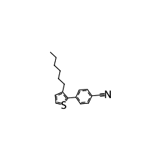 CCCCCCc1ccsc1-c1ccc(C#N)cc1